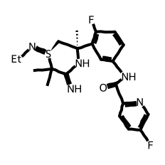 CC/N=[S@]1/C[C@@](C)(c2cc(NC(=O)c3ccc(F)cn3)ccc2F)NC(=N)C1(C)C